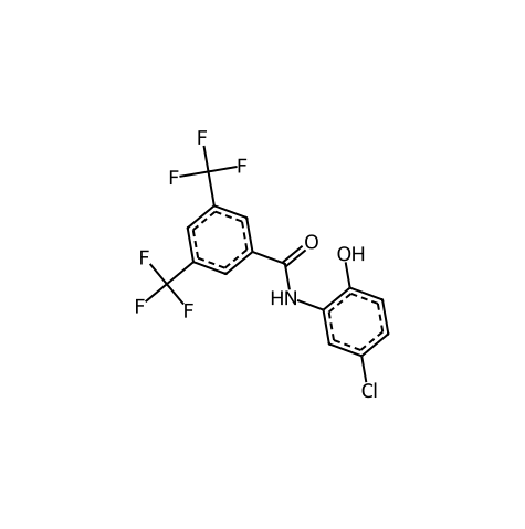 O=C(Nc1cc(Cl)ccc1O)c1cc(C(F)(F)F)cc(C(F)(F)F)c1